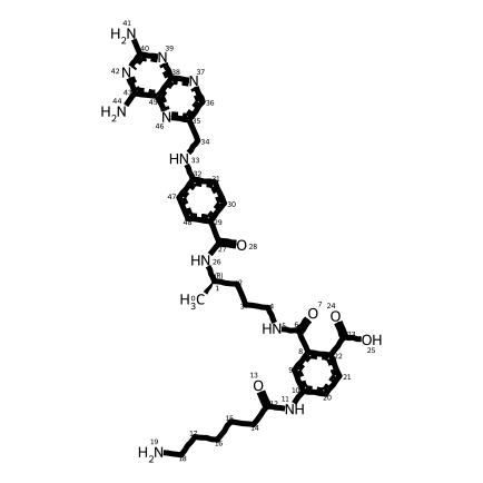 C[C@H](CCCNC(=O)c1cc(NC(=O)CCCCCN)ccc1C(=O)O)NC(=O)c1ccc(NCc2cnc3nc(N)nc(N)c3n2)cc1